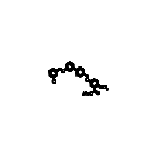 COC(=O)c1cc(OCc2cnc(-c3cccc(OCc4cccc(Cl)c4)c3)nc2)ccc1[N+](=O)[O-]